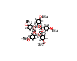 CC(C)(C)Oc1ccc([Si]2(C)O[Si](C)(c3ccc(OC(C)(C)C)cc3)O[Si](C)(c3ccc(OC(C)(C)C)cc3)O[Si](C)(c3ccc(OC(C)(C)C)cc3)O[Si](C)(c3ccc(OC(C)(C)C)cc3)O2)cc1